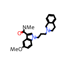 CNC(=O)c1cn(CCCN2CCc3ccccc3C2)c2ccc(OC)cc12